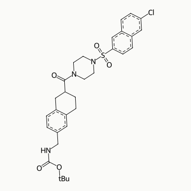 CC(C)(C)OC(=O)NCc1ccc2c(c1)CCC(C(=O)N1CCN(S(=O)(=O)c3ccc4cc(Cl)ccc4c3)CC1)C2